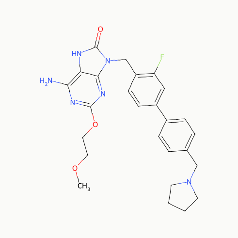 COCCOc1nc(N)c2[nH]c(=O)n(Cc3ccc(-c4ccc(CN5CCCC5)cc4)cc3F)c2n1